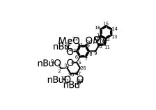 CCCCOC[C@H]1O[C@@H](c2cc(Cc3cc4ccccc4s3)c(OC)c(OC)c2OCCCC)C[C@@H](OCCCC)[C@@H]1OCCCC